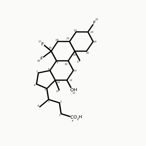 CC(CCC(=O)O)C1CCC2C3C(CC(O)C12C)C1(C)CCC(F)CC1CC3(F)F